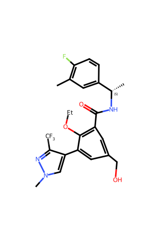 CCOc1c(C(=O)N[C@@H](C)c2ccc(F)c(C)c2)cc(CO)cc1-c1cn(C)nc1C(F)(F)F